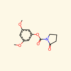 COc1cc(OC)cc(OC(=O)N2CCCC2=O)c1